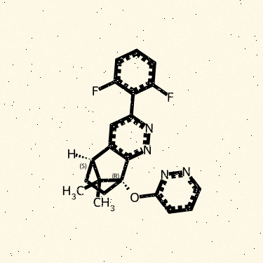 CC1(C)[C@H]2CC[C@]1(Oc1cccnn1)c1nnc(-c3c(F)cccc3F)cc12